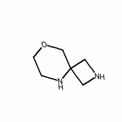 C1COCC2(CNC2)N1